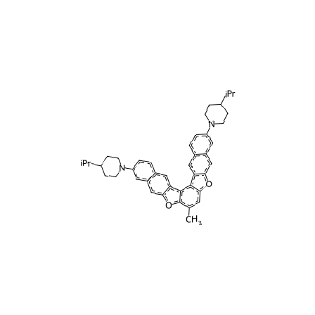 Cc1cc2oc3cc4cc(N5CCC(C(C)C)CC5)ccc4cc3c2c2c1oc1cc3cc(N4CCC(C(C)C)CC4)ccc3cc12